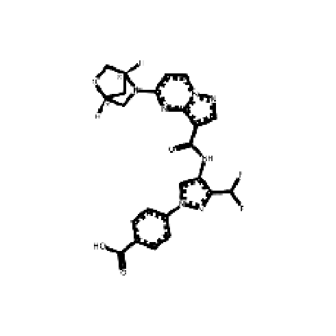 O=C(O)c1ccc(-n2cc(NC(=O)c3cnn4ccc(N5C[C@H]6C[C@@H]5CO6)nc34)c(C(F)F)n2)cc1